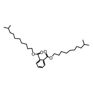 CC(C)CCCCCCCCOC(=O)c1ccccc1C(=O)OCCCCCCCCC(C)C